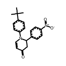 CC(C)(C)c1ccc(N2C=CC(=O)CC2c2ccc([N+](=O)[O-])cc2)cc1